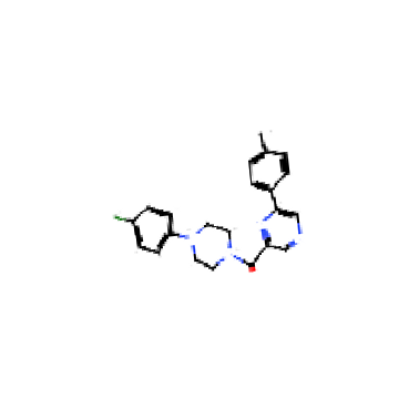 O=C(c1cncc(-c2ccc(C(F)(F)F)cc2)n1)N1CCN(c2ccc(Cl)cc2)CC1